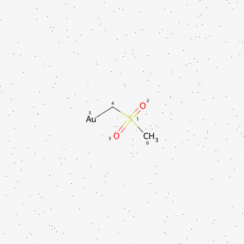 CS(=O)(=O)[CH2][Au]